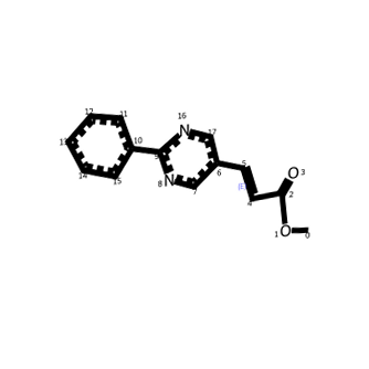 COC(=O)/C=C/c1cnc(-c2ccccc2)nc1